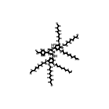 CCCCCCCCCSc1cc(Nc2nc(Nc3cc(SCCCCCCCCC)c(SCCCCCCCCC)c(SCCCCCCCCC)c3)nc(-c3ccc(CC)cc3)n2)cc(SCCCCCCCCC)c1SCCCCCCCCC